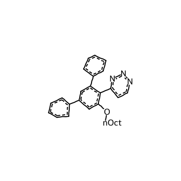 CCCCCCCCOc1cc(-c2ccccc2)cc(-c2ccccc2)c1-c1ccnnn1